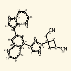 N#CC[C@]1(n2ncc(-c3cc(-c4cnn5cccnc45)cc4ncccc34)n2)C[C@H](C#N)C1